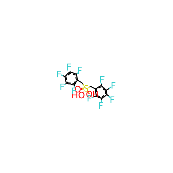 O=S(O)(O)(Cc1c(F)c(F)c(F)c(F)c1F)Cc1c(F)c(F)c(F)c(F)c1F